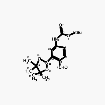 CC(C)(C)OC(=O)Nc1ccc(C=O)c(B2OC(C)(C)C(C)(C)O2)c1